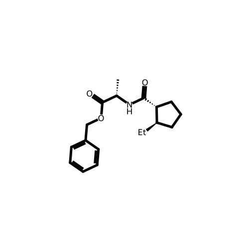 CC[C@@H]1CCC[C@H]1C(=O)N[C@@H](C)C(=O)OCc1ccccc1